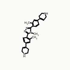 Cc1cc(C2=CCNCC2)ccc1-c1nnc(-c2ccc(C3=CCNCC3)cc2C)n1C